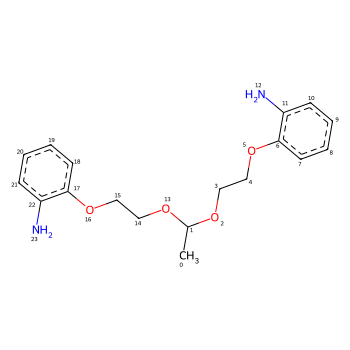 CC(OCCOc1ccccc1N)OCCOc1ccccc1N